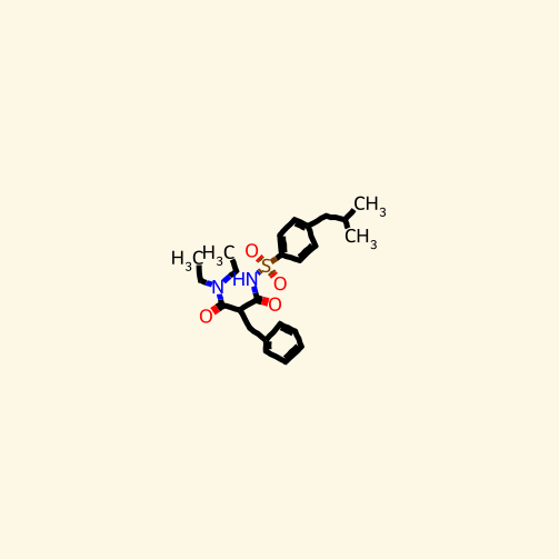 CCN(CC)C(=O)C(Cc1ccccc1)C(=O)NS(=O)(=O)c1ccc(CC(C)C)cc1